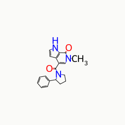 Cn1cc(C(=O)N2CCCC2c2ccccc2)c2cc[nH]c2c1=O